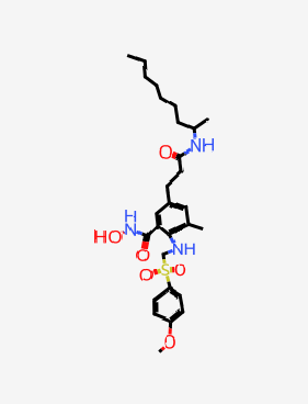 CCCCCCCC(C)NC(=O)CCc1cc(C)c(NCS(=O)(=O)c2ccc(OC)cc2)c(C(=O)NO)c1